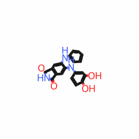 O=C1NC(=O)c2cc(Nc3ccc(O)c(O)c3)c(Nc3ccccc3)cc21